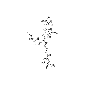 CC(C)(C)OC(=O)NCCON=C(C(=O)NC1C(=O)N2CC(Cl)(C(=O)O)CS[C@H]12)c1csc(NC=O)n1